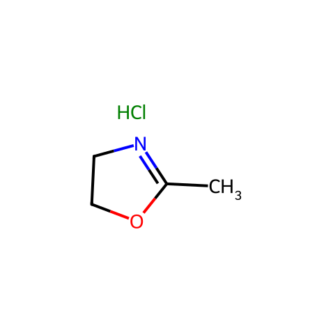 CC1=NCCO1.Cl